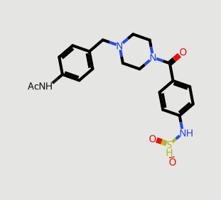 CC(=O)Nc1ccc(CN2CCN(C(=O)c3ccc(N[SH](=O)=O)cc3)CC2)cc1